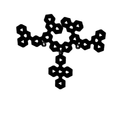 C1=CC2C(C3=Cc4c(oc5ccc(-c6cc7ccccc7c7ccccc67)cc45)C(c4ccc5c(c4)c4cc(-c6cc(-c7cc8ccccc8c8ccccc78)cc7c6oc6ccc(-c8cc9ccccc9c9ccccc89)cc67)ccc4n5-c4ccc(-c5c6ccccc6c(-c6ccccc6)c6ccccc56)cc4)C3)=Cc3ccccc3C2C=C1